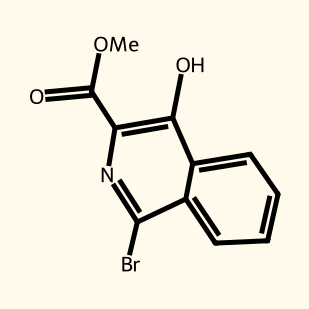 COC(=O)c1nc(Br)c2ccccc2c1O